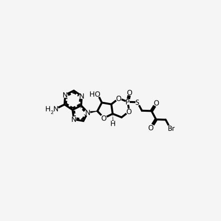 Nc1ncnc2c1ncn2[C@@H]1O[C@@H]2COP(=O)(SCC(=O)C(=O)CBr)OC2C1O